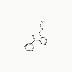 O=C(c1ccccc1)c1ccccc1COCS